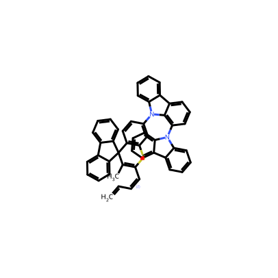 C=C/C=C\C1=C(C)C2(c3ccc(-n4c5ccccc5c5cccc(-n6c7ccccc7c7ccccc76)c54)cc3S1)c1ccccc1-c1ccccc12